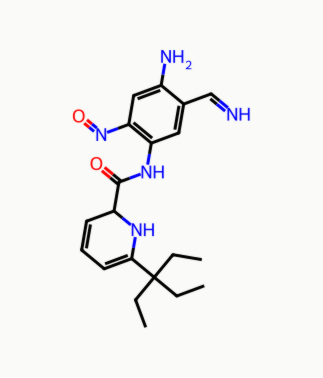 CCC(CC)(CC)C1=CC=CC(C(=O)Nc2cc(C=N)c(N)cc2N=O)N1